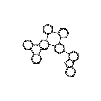 c1ccc2c(c1)-c1ccccc1-c1cc3c4ccccc4c4ccccc4c3cc1-c1ccc(-c3cccc4c3sc3ccccc34)cc1-2